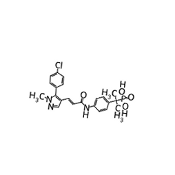 Cn1ncc(/C=C/C(=O)Nc2ccc(C(C)(C)P(=O)(O)O)cc2)c1-c1ccc(Cl)cc1